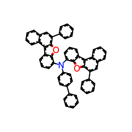 c1ccc(-c2ccc(N(c3cccc4c3oc3c(-c5ccccc5)cc5ccccc5c34)c3cccc4c3oc3c(-c5ccccc5)cc5ccccc5c34)cc2)cc1